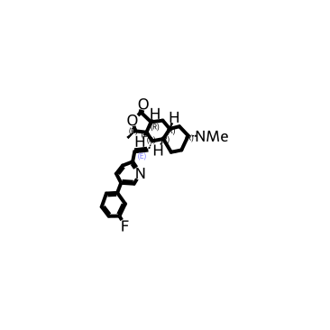 CN[C@@H]1CC[C@@H]2[C@@H](C1)C[C@H]1C(=O)O[C@H](C)[C@H]1[C@H]2/C=C/c1ccc(-c2cccc(F)c2)cn1